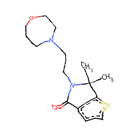 CC1(C)c2sccc2C(=O)N1CCN1CCOCC1